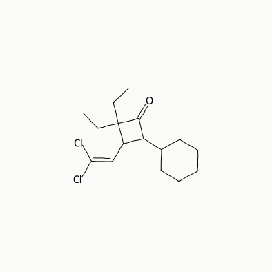 CCC1(CC)C(=O)C(C2CCCCC2)C1C=C(Cl)Cl